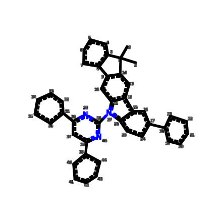 CC1(C)c2ccccc2-c2cc3c(cc21)c1cc(-c2ccccc2)ccc1n3-c1nc(-c2ccccc2)cc(-c2ccccc2)n1